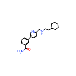 NC(=O)c1cccc(-c2ccc(CNCCC3CCCCC3)nc2)c1